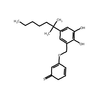 CCCCCC(C)(C)c1cc(O)c(O)c(COC2=CC(=S)CC=C2)c1